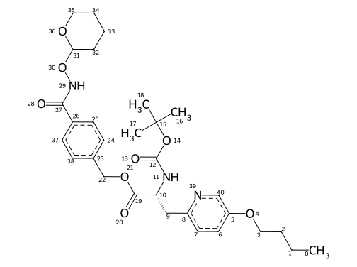 CCCCOc1ccc(C[C@@H](NC(=O)OC(C)(C)C)C(=O)OCc2ccc(C(=O)NOC3CCCCO3)cc2)nc1